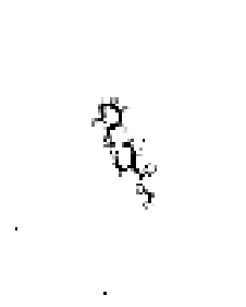 CCOC(=O)c1cc[n+](Oc2ccccc2)cc1